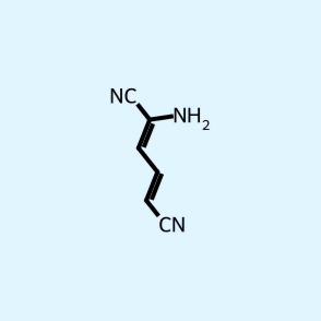 N#CC=CC=C(N)C#N